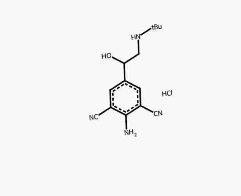 CC(C)(C)NCC(O)c1cc(C#N)c(N)c(C#N)c1.Cl